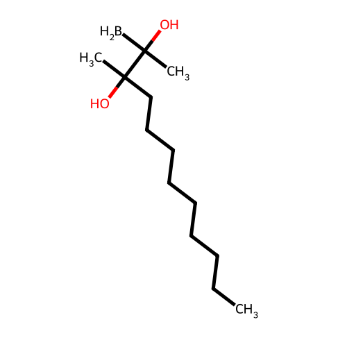 BC(C)(O)C(C)(O)CCCCCCCCC